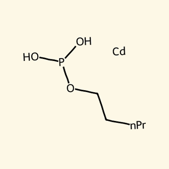 CCCCCOP(O)O.[Cd]